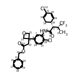 C[C@H]([C@H](C(=O)Nc1cc(C2(CC(=O)OCc3ccccc3)COC2)ccc1Cl)C1C=CC(Cl)=CC1)C(F)(F)F